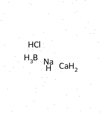 B.Cl.[CaH2].[NaH]